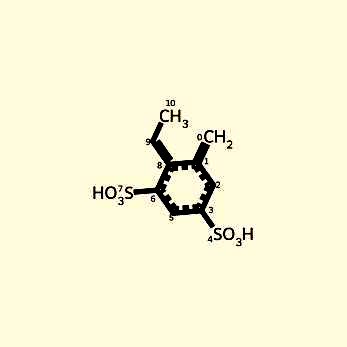 C=c1cc(S(=O)(=O)O)cc(S(=O)(=O)O)/c1=C/C